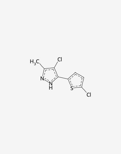 Cc1n[nH]c(-c2ccc(Cl)s2)c1Cl